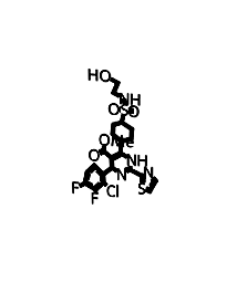 COC(=O)C1=C(C2CCC(S(=O)(=O)NCCO)CC2)NC(c2nccs2)=NC1c1ccc(F)c(F)c1Cl